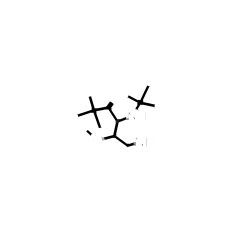 COC(CN)C(NC(C)(C)C)C(=O)C(C)(C)C